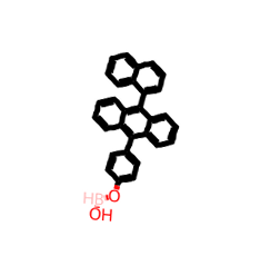 OBOc1ccc(-c2c3ccccc3c(-c3cccc4ccccc34)c3ccccc23)cc1